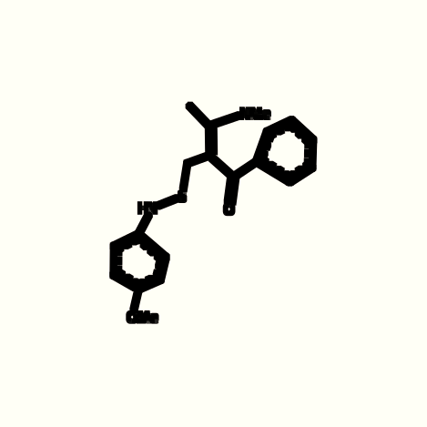 CNC(C)=C(CSNc1ccc(OC)cc1)C(=O)c1ccccc1